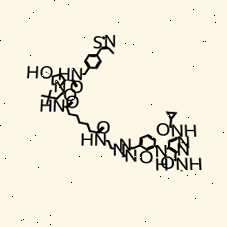 CNC(=O)c1nnc(NC(=O)C2CC2)cc1Nc1cccc(-c2ncn(CCNC(=O)CCCCCC(=O)N[C@H](C(=O)N3C[C@H](O)C[C@H]3C(=O)NCc3ccc(-c4scnc4C)cc3)C(C)(C)C)n2)c1OC